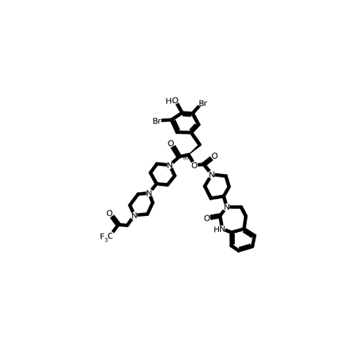 O=C(O[C@H](Cc1cc(Br)c(O)c(Br)c1)C(=O)N1CCC(N2CCN(CC(=O)C(F)(F)F)CC2)CC1)N1CCC(N2CCc3ccccc3NC2=O)CC1